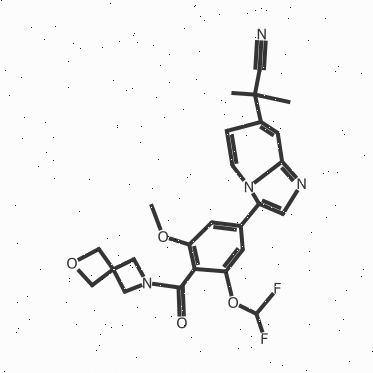 COc1cc(-c2cnc3cc(C(C)(C)C#N)ccn23)cc(OC(F)F)c1C(=O)N1CC2(COC2)C1